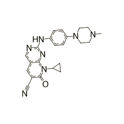 CN1CCN(c2ccc(Nc3ncc4cc(C#N)c(=O)n(C5CC5)c4n3)cc2)CC1